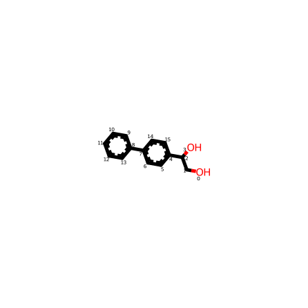 OCC(O)c1ccc(-c2ccccc2)cc1